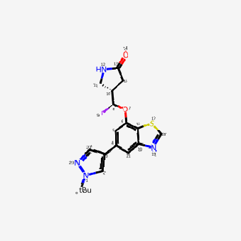 CC(C)(C)n1cc(-c2cc(O[C@@H](I)[C@@H]3CNC(=O)C3)c3scnc3c2)cn1